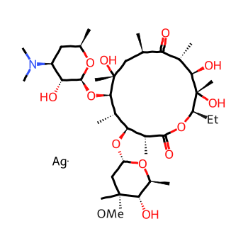 CC[C@H]1OC(=O)[C@H](C)[C@@H](O[C@H]2C[C@@](C)(OC)[C@@H](O)[C@H](C)O2)[C@H](C)[C@@H](O[C@@H]2O[C@H](C)C[C@H](N(C)C)[C@H]2O)[C@](C)(O)C[C@@H](C)C(=O)[C@H](C)[C@@H](O)[C@]1(C)O.[Ag]